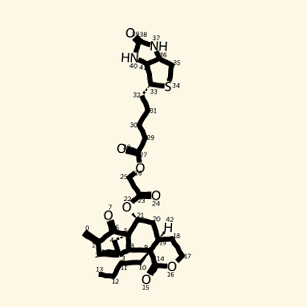 C=C1C=C2C[C@@]3(C1=O)C2[C@@]1(CCCC)C(=O)OCC[C@@H]1C[C@H]3OC(=O)COC(=O)CCCC[C@H]1SCC2NC(=O)NC21